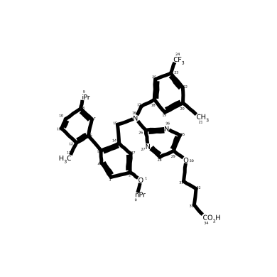 CCCOc1ccc(-c2cc(C(C)C)ccc2C)c(CN(Cc2cc(C)cc(C(F)(F)F)c2)c2ncc(OCCCC(=O)O)cn2)c1